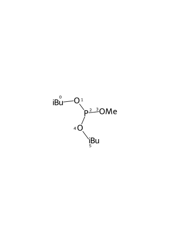 CCC(C)OP(OC)OC(C)CC